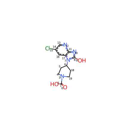 O=C(O)N1CCC(n2c(O)nc3ncc(Cl)cc32)CC1